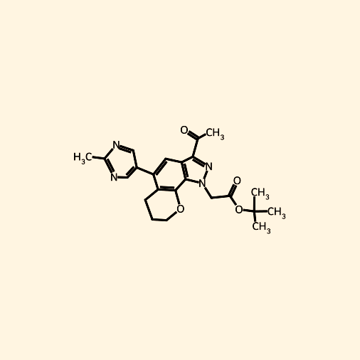 CC(=O)c1nn(CC(=O)OC(C)(C)C)c2c3c(c(-c4cnc(C)nc4)cc12)CCCO3